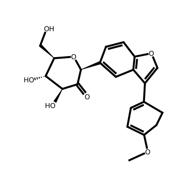 COC1=CC=C(c2coc3ccc([C@@H]4O[C@H](CO)[C@@H](O)[C@H](O)C4=O)cc23)CC1